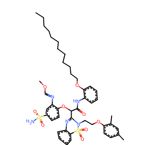 CCCCCCCCCCCCOc1ccccc1NC(=O)C(Oc1ccc(S(N)(=O)=O)cc1/N=C/OC)C1=Nc2ccccc2S(=O)(=O)N1CCOc1ccc(C)cc1C